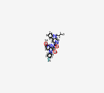 CCCCn1c2ccccc2c2cc(C(=O)N[C@]3(C)C(=O)N(c4ccc(F)cc4)c4ccc(OC)cc43)ncc21